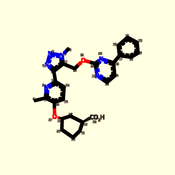 Cc1nc(-c2nnn(C)c2COc2nccc(-c3ccccc3)n2)ccc1O[C@H]1CCC[C@H](C(=O)O)C1